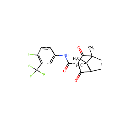 CC12CCC(C(=O)C(C(=O)Nc3ccc(F)c(C(F)(F)F)c3)C1=O)C2(C)C